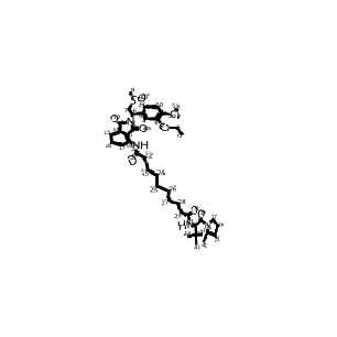 CCOc1cc(C(C[S+](C)[O-])N2C(=O)c3cccc(NC(=O)CCCCCCCCC(=O)NC(C(=O)N4CCCC4C)C(C)(C)C)c3C2=O)ccc1OC